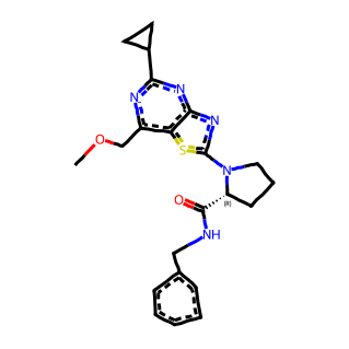 COCc1nc(C2CC2)nc2nc(N3CCC[C@@H]3C(=O)NCc3ccccc3)sc12